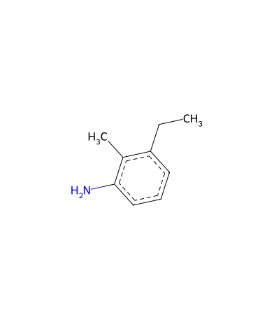 CCc1cccc(N)c1C